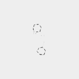 [CH](COc1ccccn1)c1ccccc1